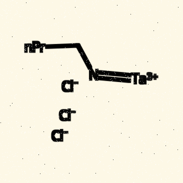 CCCC[N]=[Ta+3].[Cl-].[Cl-].[Cl-]